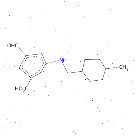 CC1CCC(CNc2cc(C=O)cc(C(=O)O)c2)CC1